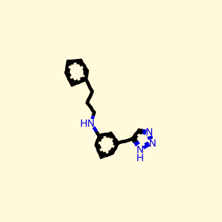 c1ccc(CCCNc2cccc(-c3cnn[nH]3)c2)cc1